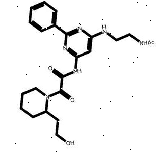 CC(=O)NCCNc1cc(NC(=O)C(=O)N2CCCCC2CCO)nc(-c2ccccc2)n1